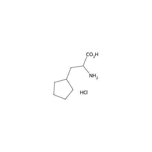 Cl.NC(CC1CCCC1)C(=O)O